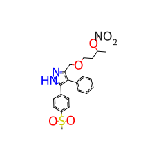 CC(CCOCc1n[nH]c(-c2ccc(S(C)(=O)=O)cc2)c1-c1ccccc1)O[N+](=O)[O-]